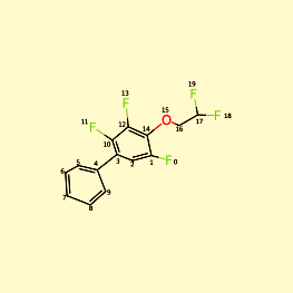 Fc1cc(-c2ccccc2)c(F)c(F)c1OCC(F)F